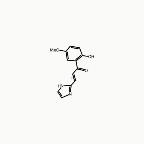 COc1ccc(O)c(C(=O)/C=C/c2ncc[nH]2)c1